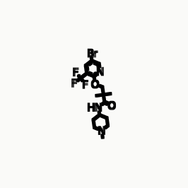 CN1CCC(NC(=O)C(C)(C)COc2ncc(Br)cc2C(F)(F)F)CC1